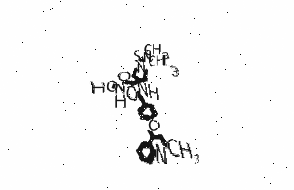 Cc1cc(COc2ccc(C(=O)NC3(CC(=O)NO)CCN(C(=S)N(C)C)CC3)cc2)c2ccccc2n1